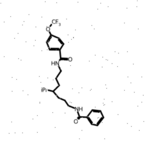 CC(C)C(CCCNC(=O)c1ccccc1)CCCNC(=O)c1ccc(OC(F)(F)F)cc1